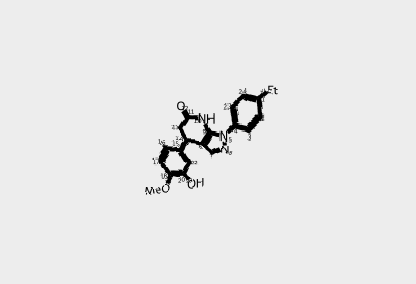 CCc1ccc(-n2ncc3c2NC(=O)CC3c2ccc(OC)c(O)c2)cc1